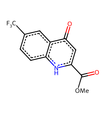 COC(=O)c1cc(=O)c2cc(C(F)(F)F)ccc2[nH]1